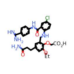 CCOc1cc(CCC(N)=O)cc(CNc2ccc(Cl)cc2C(=O)Nc2ccc(C(=N)N)cc2)c1OCC(=O)O